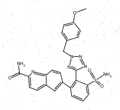 COc1ccc(Cn2nnc(-c3c(-c4ccc5nc(C(N)=O)ccc5c4)cccc3S(N)(=O)=O)n2)cc1